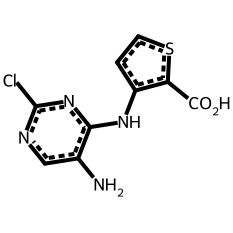 Nc1cnc(Cl)nc1Nc1ccsc1C(=O)O